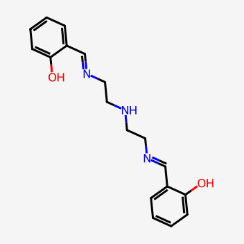 Oc1ccccc1C=NCCNCCN=Cc1ccccc1O